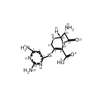 Nc1cc(SC2=C(C(=O)O)N3C(=O)[C@@H](N)[C@H]3SC2)nc(N)n1